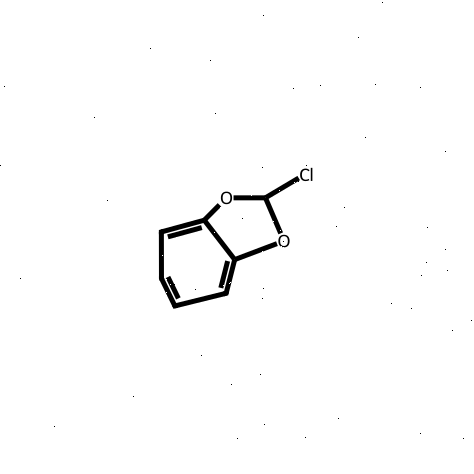 ClC1Oc2ccccc2O1